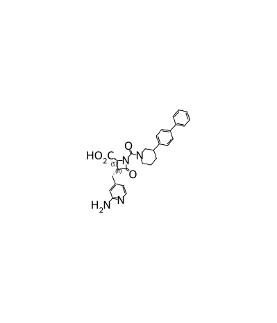 Nc1cc(C[C@H]2C(=O)N(C(=O)N3CCCC(c4ccc(-c5ccccc5)cc4)C3)[C@@H]2C(=O)O)ccn1